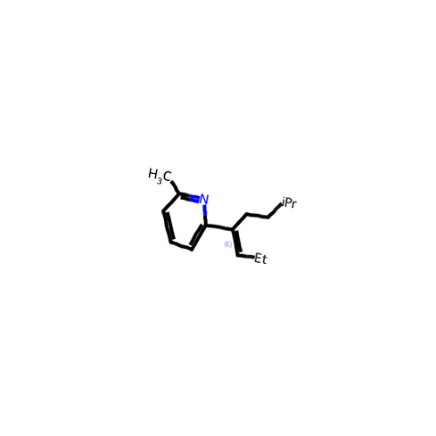 CC/C=C(\CCC(C)C)c1cccc(C)n1